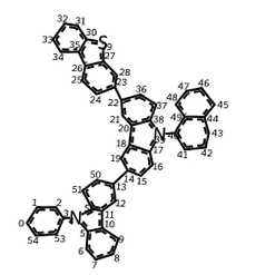 c1ccc(-n2c3ccccc3c3cc(-c4ccc5c(c4)c4cc(-c6ccc7c(c6)sc6ccccc67)ccc4n5-c4cccc5ccccc45)ccc32)cc1